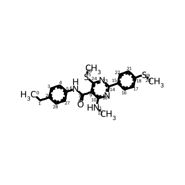 CCc1ccc(NC(=O)c2c(NC)nc(-c3ccc(SC)cc3)nc2SC)cc1